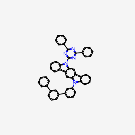 c1ccc(-c2cccc(-c3cccc(-n4c5ccccc5c5cc6c(cc54)c4ccccc4n6-c4nc(-c5ccccc5)nc(-c5ccccc5)n4)c3)c2)cc1